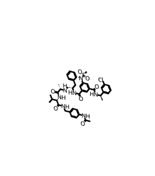 CC(=O)Nc1ccc(CNC(=O)[C@@H](NC(=O)[C@H](C)NC[C@H](Cc2ccccc2)NC(=O)c2cc(C(=O)N[C@H](C)c3cccc(Cl)c3)cc(N(C)S(C)(=O)=O)c2)C(C)C)cc1